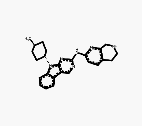 C[C@H]1CC[C@H](n2c3ccccc3c3cnc(Nc4ccc5c(n4)CNCC5)nc32)CC1